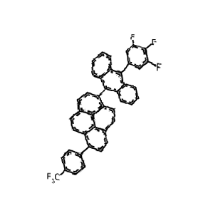 Fc1cc(-c2c3ccccc3c(-c3ccc4ccc5c(-c6ccc(C(F)(F)F)cc6)ccc6ccc3c4c65)c3ccccc23)cc(F)c1F